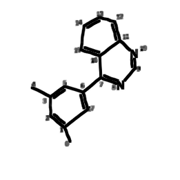 Cc1cc(C)cc(-c2ncnc3ccccc23)c1